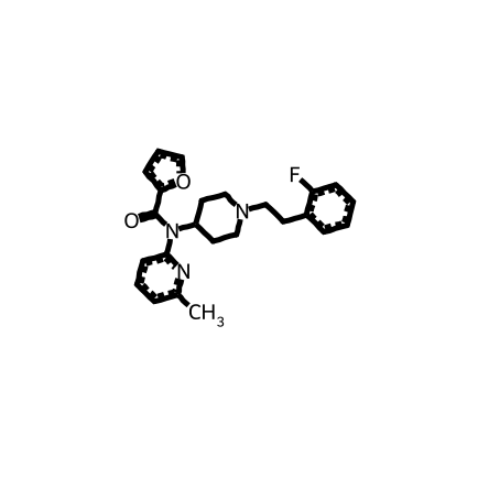 Cc1cccc(N(C(=O)c2ccco2)C2CCN(CCc3ccccc3F)CC2)n1